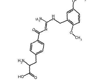 COc1ccc(OC)c(CNC(N)=NC(=O)c2ccc(CC(N)C(=O)O)cc2)c1